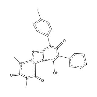 Cn1c(=O)c2c(nc3n(-c4ccc(F)cc4)c(=O)c(-c4ccccc4)c(O)n23)n(C)c1=O